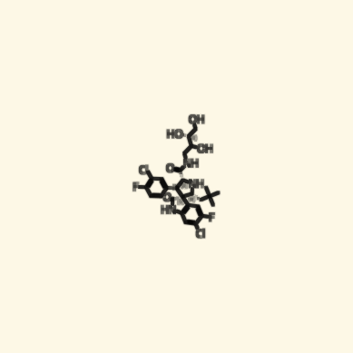 CC(C)(C)C[C@H]1N[C@@H](C(=O)NCC(O)[C@H](O)CO)[C@H](c2ccc(F)c(Cl)c2)[C@@]12C(=O)Nc1cc(Cl)c(F)cc12